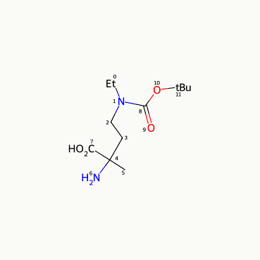 CCN(CCC(C)(N)C(=O)O)C(=O)OC(C)(C)C